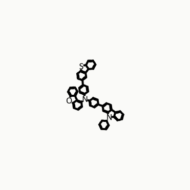 C1=CCC(n2c3ccccc3c3ccc(-c4ccc(N(c5ccc(-c6ccc7c(c6)C6C=CC=CC6S7)cc5)c5cccc6oc7ccccc7c56)cc4)cc32)C=C1